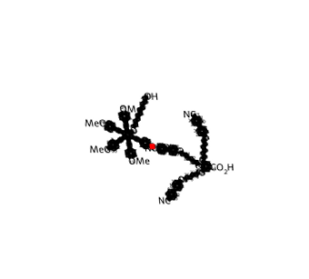 COc1ccc(C#Cc2c(C#Cc3ccc(OC)cc3)c(C#Cc3ccc(OC)cc3)c(OCCCCCCCCCCCO)c(C#Cc3ccc(OC)cc3)c2C#Cc2ccc(OC)cc2)cc1.N#Cc1ccc(-c2ccc(OCCCCCCOc3cc(C(=O)O)cc(OCCCCCCOc4ccc(-c5ccc(C#N)cc5)cc4)c3OCCCCCCOc3ccc(-c4ccc(C#N)cc4)cc3)cc2)cc1